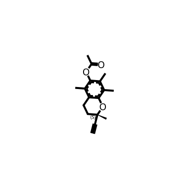 C#C[C@]1(C)CCc2c(C)c(OC(C)=O)c(C)c(C)c2O1